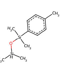 Cc1ccc([Si](C)(C)O[SiH](C)C)cc1